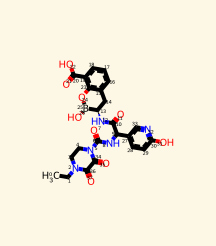 CCN1CCN(C(=O)NC(C(=O)N[C@H]2Cc3cccc(C(=O)O)c3OB2O)c2ccc(O)nc2)C(=O)C1=O